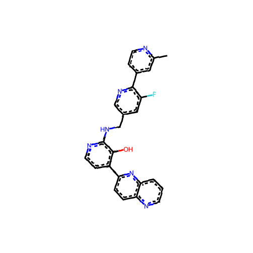 Cc1cc(-c2ncc(CNc3nccc(-c4ccc5ncccc5n4)c3O)cc2F)ccn1